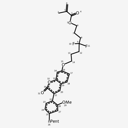 C=C(C)C(=O)OCCCC(F)(F)CCCOc1ccc2cc(-c3ccc(CCCCC)cc3OC)c(=O)oc2c1